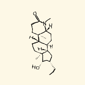 CC[C@H]1C[C@H]2[C@@H]3CC[C@H]4N(C)C(=O)CC[C@]4(C)[C@H]3CC[C@]2(C)[C@H]1O